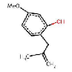 C=C(C)Cc1ccc(OC)cc1O